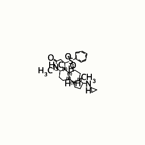 CN1C(=O)CC(S(=O)(=O)c2ccccc2)[C@@]2(C)C1CC[C@@H]1[C@H]2CC[C@]2(C)C(NC3CC3)CC[C@@H]12